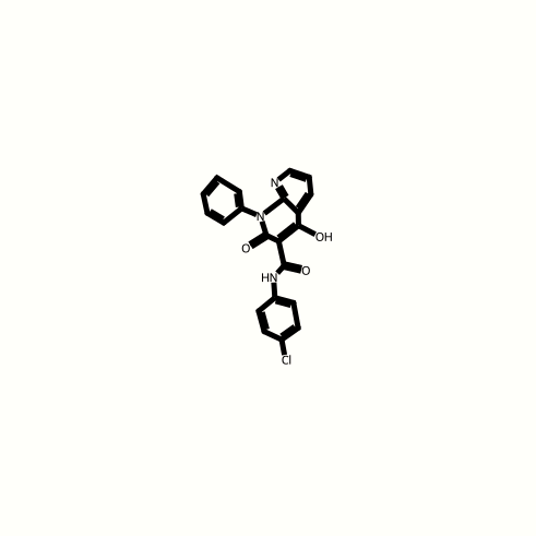 O=C(Nc1ccc(Cl)cc1)c1c(O)c2cccnc2n(-c2ccccc2)c1=O